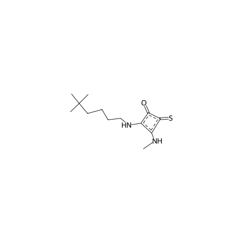 CNc1c(NCCCCC(C)(C)C)c(=O)c1=S